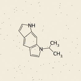 CC(C)n1ccc2cc3cc[nH]c3cc21